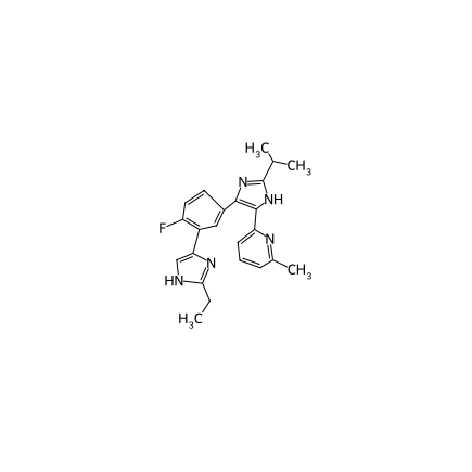 CCc1nc(-c2cc(-c3nc(C(C)C)[nH]c3-c3cccc(C)n3)ccc2F)c[nH]1